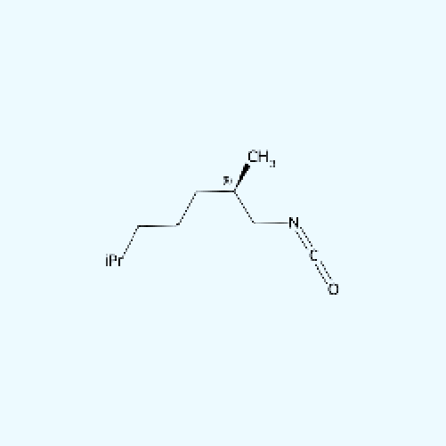 CC(C)CCC[C@@H](C)CN=C=O